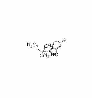 CCCC(C)(C)c1noc2cc(F)ccc12